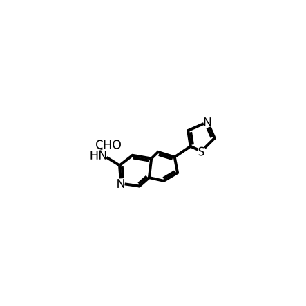 O=CNc1cc2cc(-c3cncs3)ccc2cn1